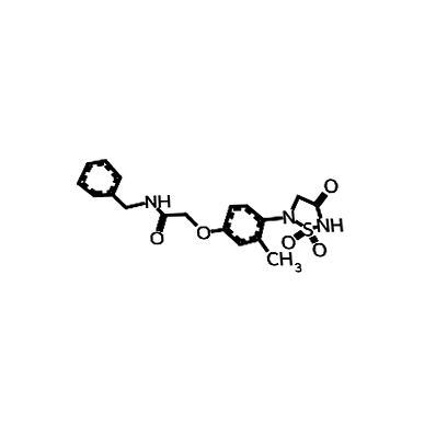 Cc1cc(OCC(=O)NCc2ccccc2)ccc1N1CC(=O)NS1(=O)=O